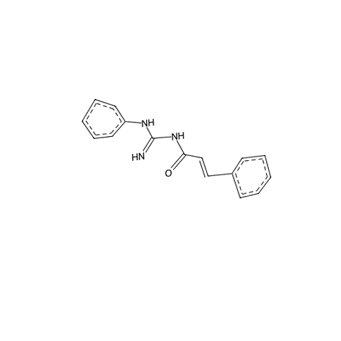 N=C(NC(=O)C=Cc1ccccc1)Nc1ccccc1